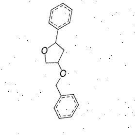 c1ccc(COC2COC(c3ccccc3)C2)cc1